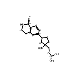 NC1(COP(O)O)CCC(c2ccc3c(c2)CCNC3=O)C1